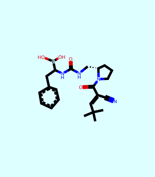 CC(C)(C)C=C(C#N)C(=O)N1CCC[C@H]1CNC(=O)NC(Cc1ccccc1)B(O)O